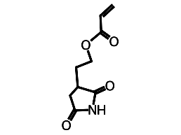 C=CC(=O)OCCC1CC(=O)NC1=O